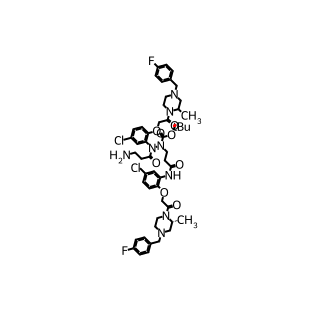 CC1CN(Cc2ccc(F)cc2)CCN1C(=O)COc1ccc(Cl)cc1N(C(=O)CCN)N(CCC(=O)Nc1cc(Cl)ccc1OCC(=O)N1CCN(Cc2ccc(F)cc2)C[C@H]1C)C(=O)OC(C)(C)C